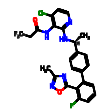 Cc1noc(-c2c(F)cccc2-c2ccc([C@@H](C)Nc3nccc(Cl)c3NC(=O)CC(F)(F)F)cc2)n1